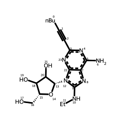 CCCCC#Cc1nc(N)c2nc(NCC)n([C@@H]3O[C@H](CO)C(O)C3O)c2n1